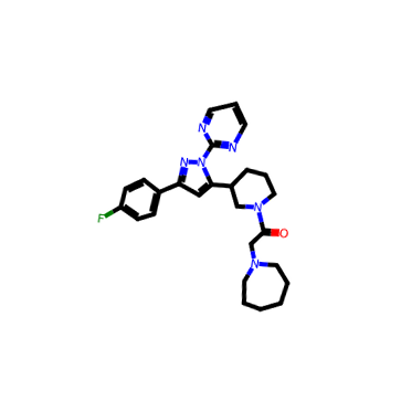 O=C(CN1CCCCCC1)N1CCCC(c2cc(-c3ccc(F)cc3)nn2-c2ncccn2)C1